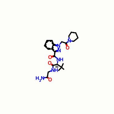 CC(C)(C)[C@H](NC(=O)c1nn(CC(=O)N2CCCCC2)c2ccccc12)C(=O)NCC(N)=O